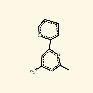 Cc1nc(N)cc(-c2ccccn2)n1